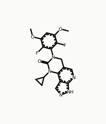 COc1cc(OC)c(F)c(N2Cc3cnc4[nH]ncc4c3N(C3CC3)C2=O)c1F